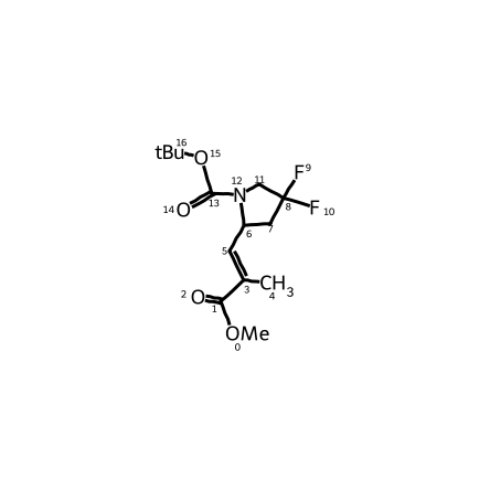 COC(=O)/C(C)=C/C1CC(F)(F)CN1C(=O)OC(C)(C)C